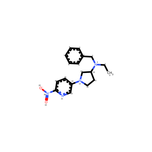 CCN(Cc1ccccc1)C1CCN(c2ccc([N+](=O)[O-])nc2)C1